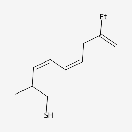 C=C(CC)C/C=C\C=C/C(C)CS